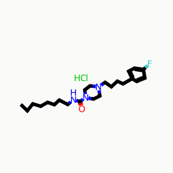 CCCCCCCCNC(=O)N1CCN(CCCCc2ccc(F)cc2)CC1.Cl